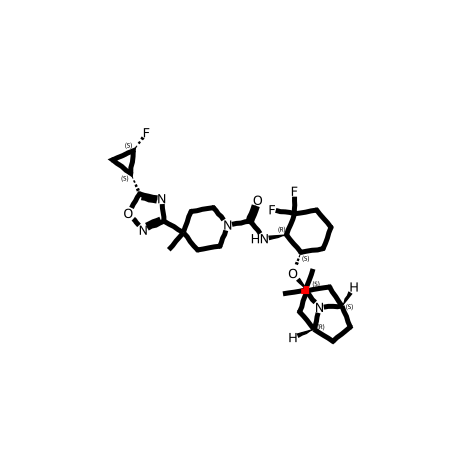 CC(C)N1[C@@H]2CC[C@H]1C[C@H](O[C@H]1CCCC(F)(F)[C@@H]1NC(=O)N1CCC(C)(c3noc([C@@H]4C[C@@H]4F)n3)CC1)C2